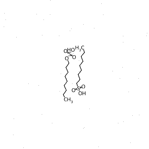 CCCCCCCCCOS(=O)(=O)O.CCCCCCCCCS(=O)(=O)O